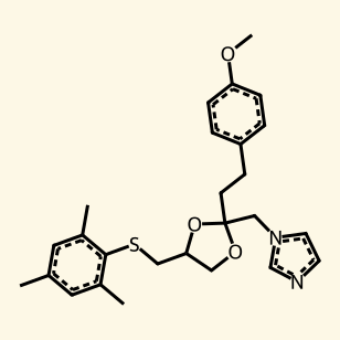 COc1ccc(CCC2(Cn3ccnc3)OCC(CSc3c(C)cc(C)cc3C)O2)cc1